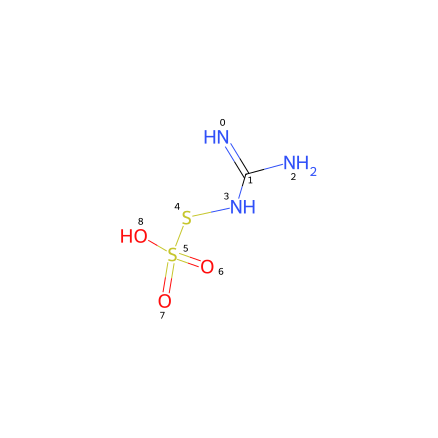 N=C(N)NSS(=O)(=O)O